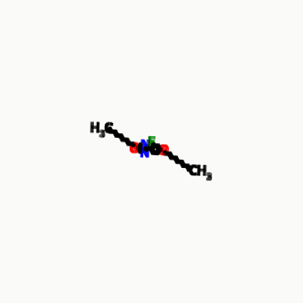 CCCCCCCCCCOc1ccc(-c2ncc(OCCCCCCCCC)cn2)c(F)c1